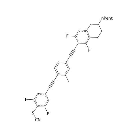 CCCCCC1CCc2c(cc(F)c(C#Cc3ccc(C#Cc4cc(F)c(SC#N)c(F)c4)c(C)c3)c2F)C1